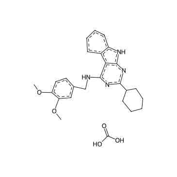 COc1ccc(CNc2nc(C3CCCCC3)nc3[nH]c4ccccc4c23)cc1OC.O=C(O)O